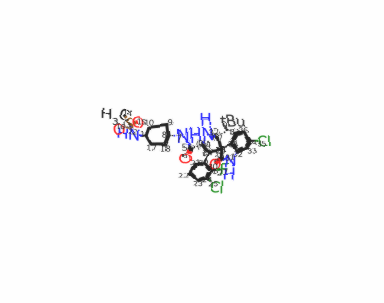 CC(C)(C)C[C@H]1N[C@@H](C(=O)N[C@H]2CC[C@H](NS(C)(=O)=O)CC2)[C@H](c2cccc(Cl)c2F)[C@@]12C(=O)Nc1cc(Cl)ccc12